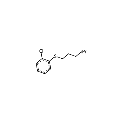 CC(C)CCCSc1ccccc1Cl